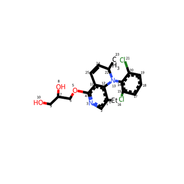 CCc1cnc(OCC(O)CO)c2c1N(c1c(Cl)cccc1Cl)C(C)C=C2